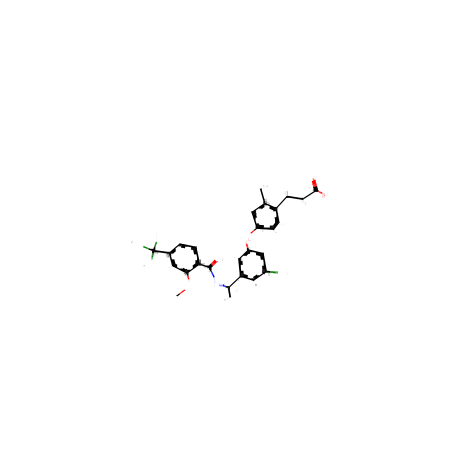 COc1cc(C(F)(F)F)ccc1C(=O)NC(C)c1cc(F)cc(Oc2ccc(CCC(=O)O)c(C)c2)c1